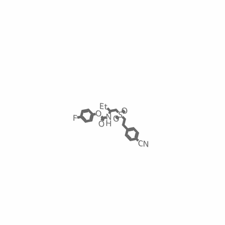 CCC(CS(=O)(=O)CCc1ccc(C#N)cc1)NC(=O)Oc1ccc(F)cc1